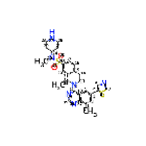 Cc1cc(-c2cncs2)cc2c(N3CCc4ccc(S(=O)(=O)N(C)C5CCNCC5)cc4C3C)ncnc12